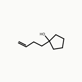 C=CCCC1(O)CCCC1